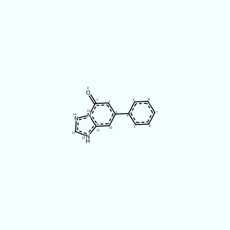 O=c1cc(-c2ccccc2)cc2[nH]cnn12